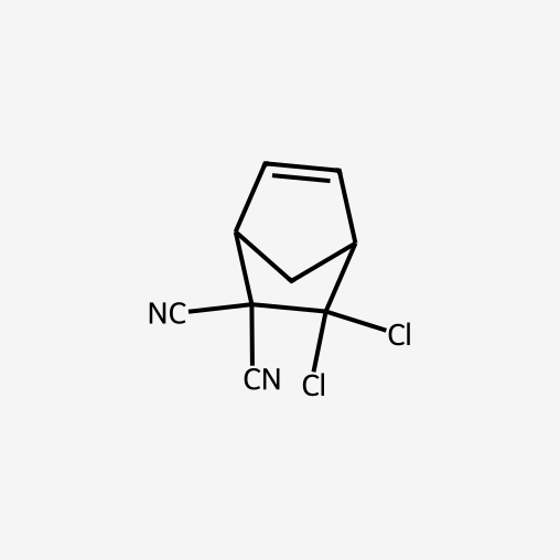 N#CC1(C#N)C2C=CC(C2)C1(Cl)Cl